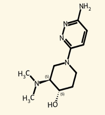 CN(C)[C@H]1CN(c2ccc(N)nn2)CC[C@@H]1O